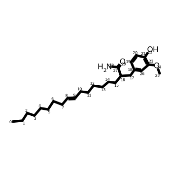 CCCCCCCC/C=C/CCCCCCC(Cc1ccc(O)c(OC)c1)C(N)=O